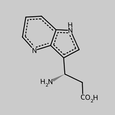 N[C@@H](CC(=O)O)c1c[nH]c2cccnc12